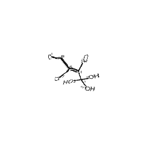 OC(O)(O)/C(Cl)=C(\Cl)CCl